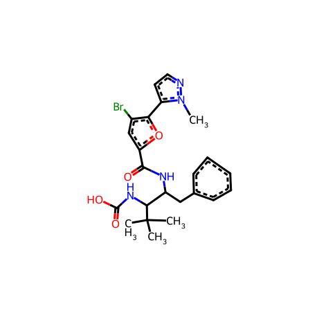 Cn1nccc1-c1oc(C(=O)NC(Cc2ccccc2)C(NC(=O)O)C(C)(C)C)cc1Br